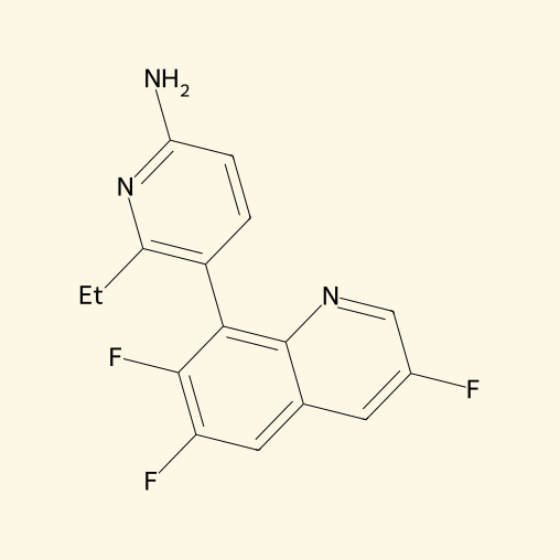 CCc1nc(N)ccc1-c1c(F)c(F)cc2cc(F)cnc12